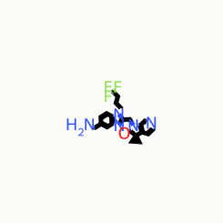 NCc1ccc2c(c1)nc(CN1C(=O)C3(CC3)c3ccncc31)n2CCCC(F)(F)F